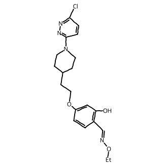 CCON=Cc1ccc(OCCC2CCN(c3ccc(Cl)nn3)CC2)cc1O